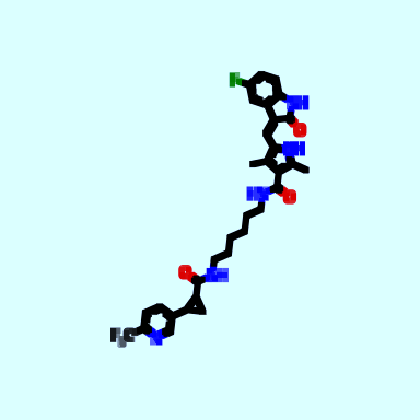 Cc1[nH]c(/C=C2\C(=O)Nc3ccc(F)cc32)c(C)c1C(=O)NCCCCCCNC(=O)C1CC1c1ccc(C(F)(F)F)nc1